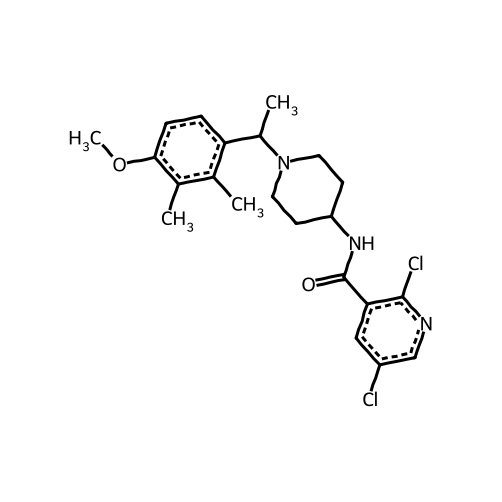 COc1ccc(C(C)N2CCC(NC(=O)c3cc(Cl)cnc3Cl)CC2)c(C)c1C